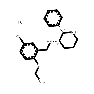 Cl.FC(F)(F)COc1ccc(Cl)cc1CN[C@H]1CCCN[C@H]1c1ccccc1